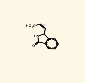 O=C(O)/C=C\C1NC(=O)c2ccccc21